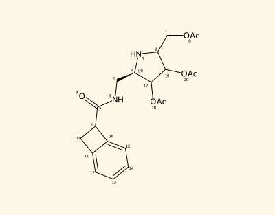 CC(=O)OCC1N[C@H](CNC(=O)C2Cc3ccccc32)C(OC(C)=O)C1OC(C)=O